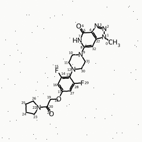 Cn1nnc2c(=O)[nH]c(N3CCN(c4c(F)cc(OCC(=O)N5CCCC5)cc4F)CC3)cc21